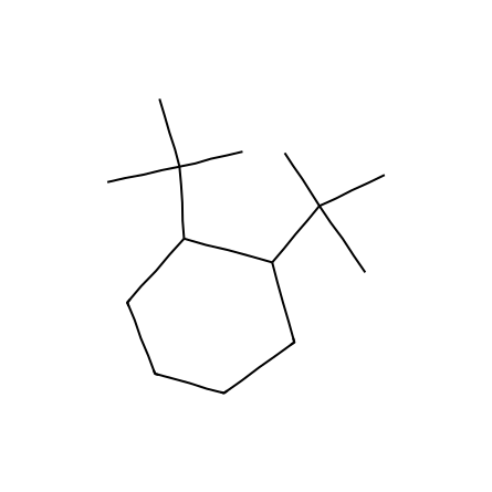 CC(C)(C)C1CCCCC1C(C)(C)C